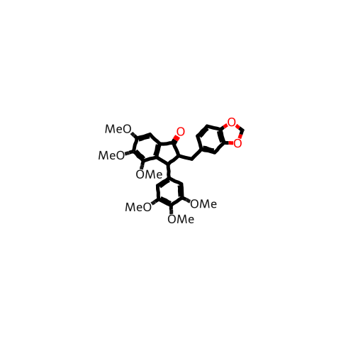 COc1cc(C2c3c(cc(OC)c(OC)c3OC)C(=O)C2Cc2ccc3c(c2)OCO3)cc(OC)c1OC